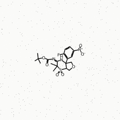 CC(C)(C)OC(=O)/N=C1/NC2(c3cc([N+](=O)[O-])ccc3F)COCC2S(=O)(=O)C1(C)C